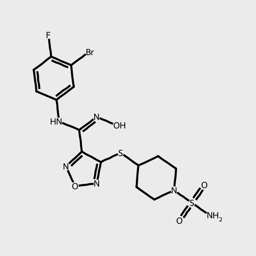 NS(=O)(=O)N1CCC(Sc2nonc2/C(=N\O)Nc2ccc(F)c(Br)c2)CC1